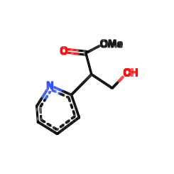 COC(=O)C(CO)c1ccccn1